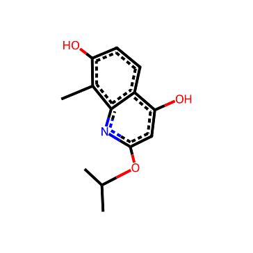 Cc1c(O)ccc2c(O)cc(OC(C)C)nc12